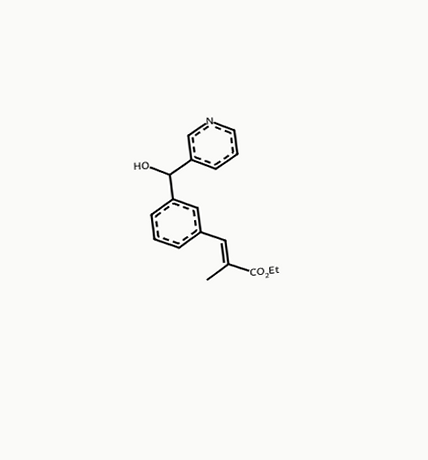 CCOC(=O)C(C)=Cc1cccc(C(O)c2cccnc2)c1